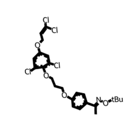 CC(=NOC(C)(C)C)c1ccc(OCCCOc2c(Cl)cc(OCC=C(Cl)Cl)cc2Cl)cc1